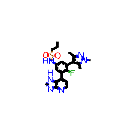 CCCS(=O)(=O)Nc1cc(-c2c(C)nn(C)c2C)c(F)c(-c2ccnc3nc[nH]c23)c1